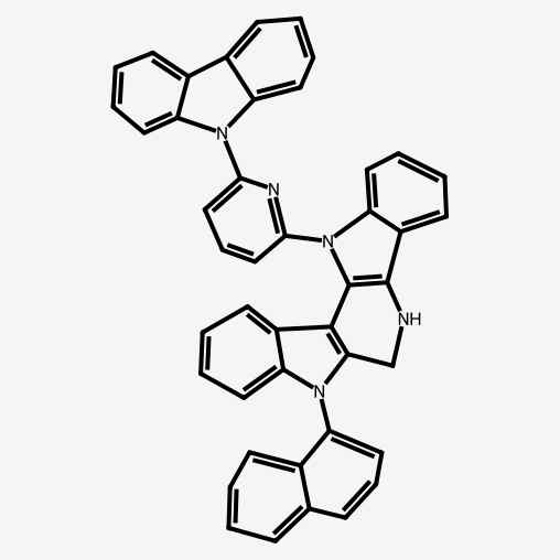 c1cc(-n2c3c(c4ccccc42)NCc2c-3c3ccccc3n2-c2cccc3ccccc23)nc(-n2c3ccccc3c3ccccc32)c1